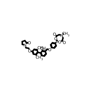 Cc1cc(OCCN2CCCC2=O)cc(C)c1-c1cccc(COc2ccc(B3OC(=O)CN(C)CC(=O)O3)cc2)c1C